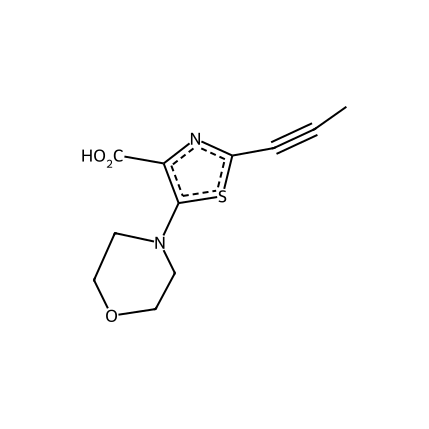 CC#Cc1nc(C(=O)O)c(N2CCOCC2)s1